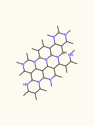 CNC(C)C(C)C1C2B(C)N(C)B3C4C5C(B6NC(C)C(C)C(C)N63)C(C)N(C)B(C)N5B3C(C)C(C)C5B(N1BC1C(C)N(C)B(C)N(C)C15)N3C24